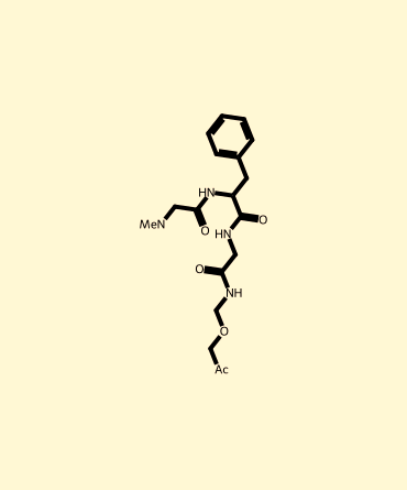 CNCC(=O)NC(Cc1ccccc1)C(=O)NCC(=O)NCOCC(C)=O